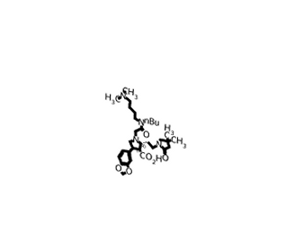 CCCCN(CCCCN(C)C)C(=O)CN1CC(c2ccc3c(c2)OCO3)[C@H](C(=O)O)[C@H]1CCN1CC(C)(C)CC1=O